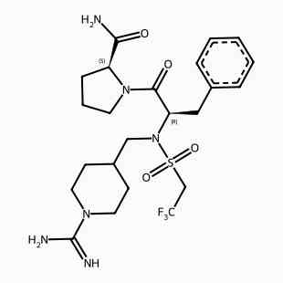 N=C(N)N1CCC(CN([C@H](Cc2ccccc2)C(=O)N2CCC[C@H]2C(N)=O)S(=O)(=O)CC(F)(F)F)CC1